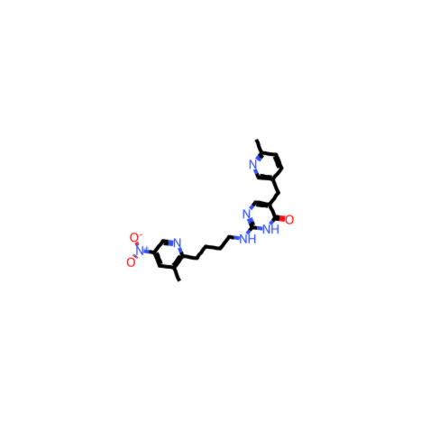 Cc1ccc(Cc2cnc(NCCCCc3ncc([N+](=O)[O-])cc3C)[nH]c2=O)cn1